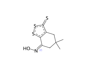 CC1(C)C/C(=N/O)c2ssc(=S)c2C1